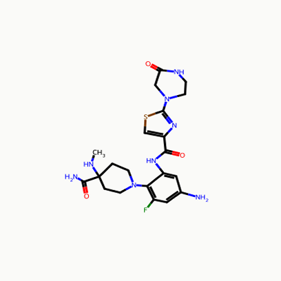 CNC1(C(N)=O)CCN(c2c(F)cc(N)cc2NC(=O)c2csc(N3CCNC(=O)C3)n2)CC1